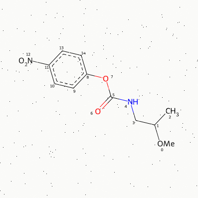 COC(C)CNC(=O)Oc1ccc([N+](=O)[O-])cc1